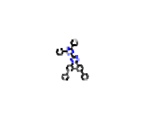 c1ccc(-c2ccc3c(c2)c2cc(-c4ccccc4)ccc2c2nc(-c4nc(-c5ccccc5)nc(-c5ccccc5)n4)nnc32)cc1